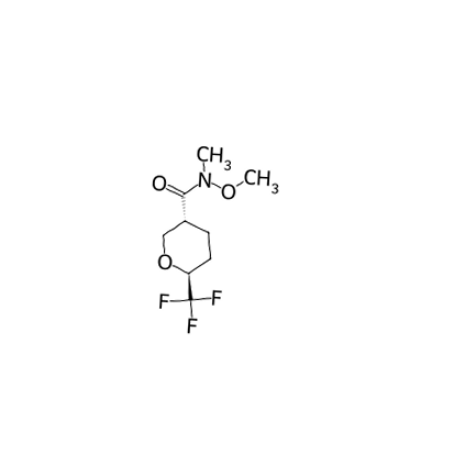 CON(C)C(=O)[C@@H]1CC[C@@H](C(F)(F)F)OC1